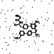 CC(=O)[C@H](Cc1ccc(-c2cc(O[C@H](c3ccc(-c4cccc(CO)c4)cc3)C(F)(F)F)nc(N)n2)cc1)NC(=O)OC(C)(C)C